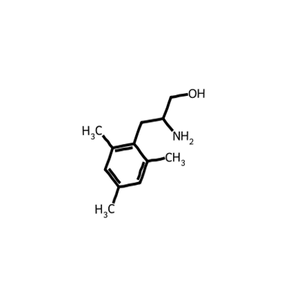 Cc1cc(C)c(CC(N)CO)c(C)c1